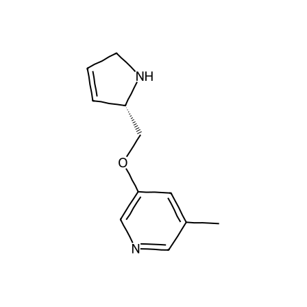 Cc1cncc(OC[C@@H]2C=CCN2)c1